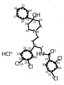 Cl.O=C(NCC(CCN1CCC(O)(c2ccccc2)CC1)c1ccc(Cl)c(Cl)c1)c1ccc(Cl)cc1Cl